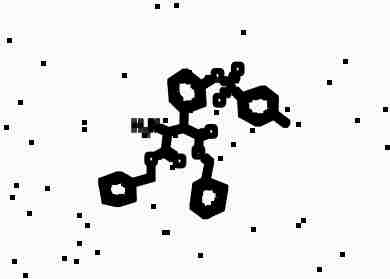 Cc1ccc(S(=O)(=O)Oc2cccc(C(C(=O)OCc3ccccc3)C(N)C(=O)OCc3ccccc3)c2)cc1